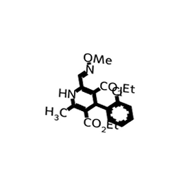 CCOC(=O)C1=C(C)NC(C=NOC)=C(C(=O)OCC)C1c1ccccc1Cl